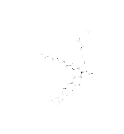 CC(CCCCCCCCCCC(=O)O)C(CCCCCCCCCCC(=O)O)C(CCCCCCCCCCCC(=O)O)CCCCCCCCCCC(=O)O